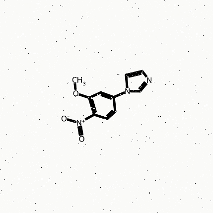 COc1cc(-n2ccnc2)ccc1[N+](=O)[O-]